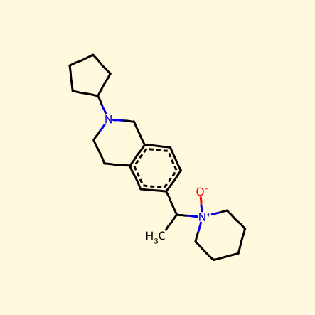 CC(c1ccc2c(c1)CCN(C1CCCC1)C2)[N+]1([O-])CCCCC1